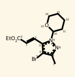 CCOC(=O)/C=C/c1c(Br)c(C)nn1C1CCCCO1